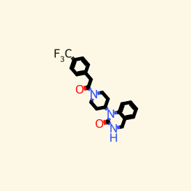 O=C(Cc1ccc(C(F)(F)F)cc1)N1CCC(N2C(=O)NCc3ccccc32)CC1